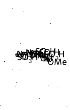 COc1ccc(N=Nc2c(S(=O)(=O)O)cc3c(S(=O)(=O)O)c(N=Nc4c(S(=O)(=O)O)cc5ccc(N=Nc6ccc7c(O)c(N=Nc8ccccc8S(=O)(=O)O)ccc7c6)c(O)c5c4N)ccc3c2O)cc1